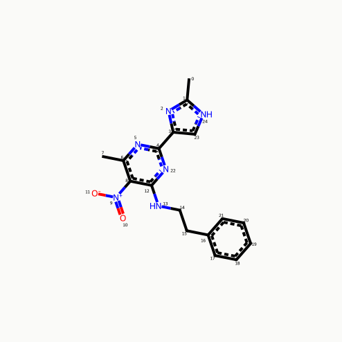 Cc1nc(-c2nc(C)c([N+](=O)[O-])c(NCCc3ccccc3)n2)c[nH]1